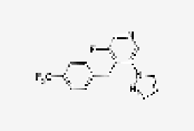 Fc1cncc(-n2cccn2)c1Cc1ccc(C(F)(F)F)cc1